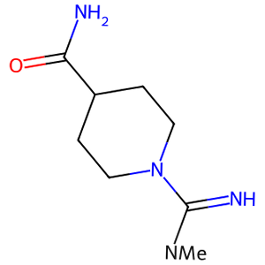 CNC(=N)N1CCC(C(N)=O)CC1